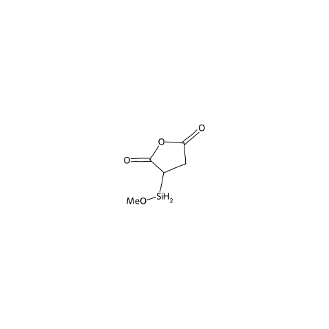 CO[SiH2]C1CC(=O)OC1=O